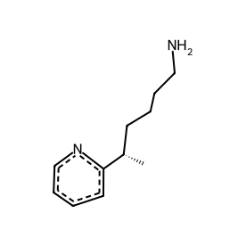 C[C@@H](CCCCN)c1ccccn1